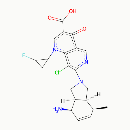 C[C@H]1C=C[C@@H](N)[C@H]2CN(c3ncc4c(=O)c(C(=O)O)cn(C5CC5F)c4c3Cl)C[C@H]21